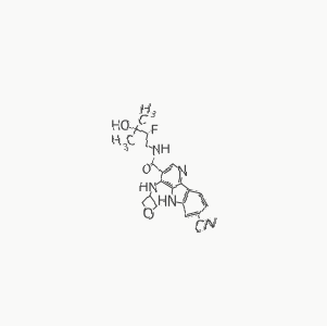 CC(C)(O)[C@H](F)CNC(=O)c1cnc2c([nH]c3cc(C#N)ccc32)c1NC1COC1